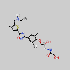 CCc1cc(-c2noc(-c3cc(C)c(CN(CC)CC(C)C)s3)n2)cc(C)c1OC[C@@H](O)CNC(=O)CO